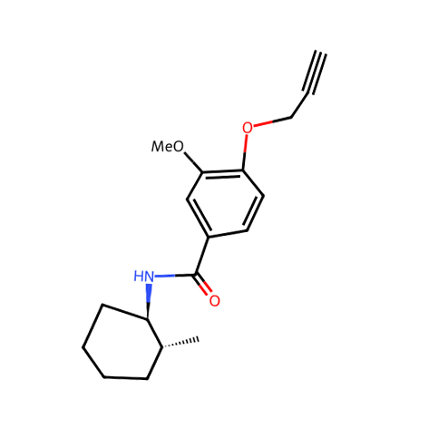 C#CCOc1ccc(C(=O)N[C@@H]2CCCC[C@H]2C)cc1OC